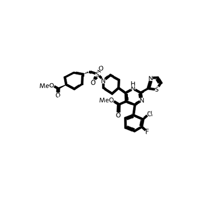 COC(=O)C1=C(C2CCN(S(=O)(=O)C[C@H]3CC[C@H](C(=O)OC)CC3)CC2)NC(c2nccs2)=NC1c1cccc(F)c1Cl